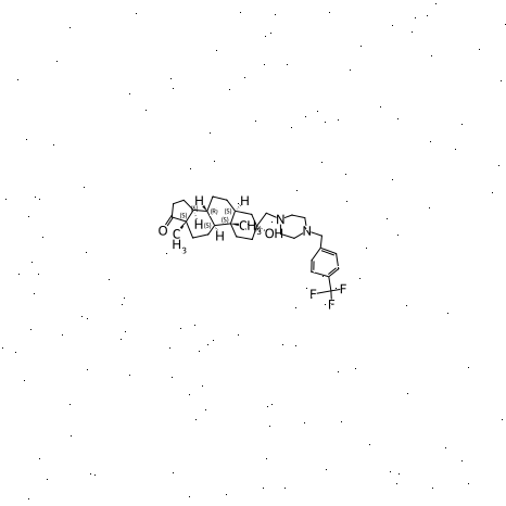 C[C@]12CC[C@](O)(CN3CCN(Cc4ccc(C(F)(F)F)cc4)CC3)C[C@@H]1CC[C@@H]1[C@@H]2CC[C@]2(C)C(=O)CC[C@@H]12